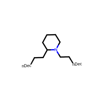 CCCCCCCCCCCCC1CCCCN1CCCCCCCCCCCC